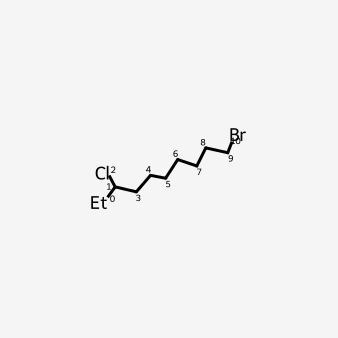 CCC(Cl)CCCCCCCBr